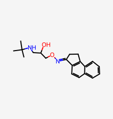 CC(C)(C)NCC(O)CO/N=C1\CCc2c1ccc1ccccc21